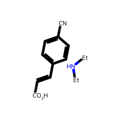 CCNCC.N#Cc1ccc(C=CC(=O)O)cc1